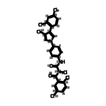 O=C(Nc1ccc(-n2cc(Cl)c(-c3ccc(Cl)cc3Cl)c2)cc1)N(Cl)C(=O)c1cc(Cl)ccc1Cl